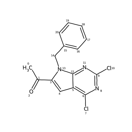 CC(=O)c1cc2c(Cl)nc(Cl)nc2n1Cc1ccccc1